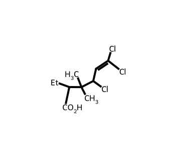 CCC(C(=O)O)C(C)(C)C(Cl)C=C(Cl)Cl